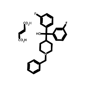 O=C(O)/C=C/C(=O)O.OC(c1cccc(F)c1)(c1cccc(F)c1)C1CCN(Cc2ccccc2)CC1